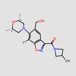 C[C@@H]1CN(c2c(CO)cc3c(C(=O)N4CC(C#N)C4)noc3c2F)C[C@H](C)O1